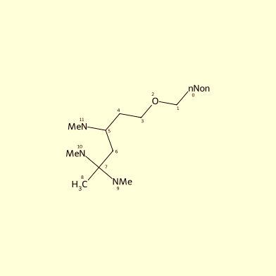 CCCCCCCCCCOCCC(CC(C)(NC)NC)NC